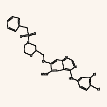 COc1cc2c(Nc3ccc(Cl)c(Cl)c3)ncnc2cc1OCC1CN(S(=O)(=O)Cc2ccccc2)CCO1